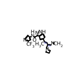 C=N/C=C(\C=C(/C)c1ccc2[nH]nc(C(=O)Nc3ccnc(C(F)(F)F)c3)c2c1)CN1CCC1